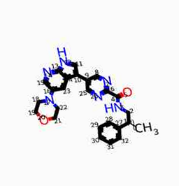 C[C@@H](CNC(=O)c1ncc(-c2c[nH]c3ncc(N4CCOCC4)cc23)cn1)c1ccccc1